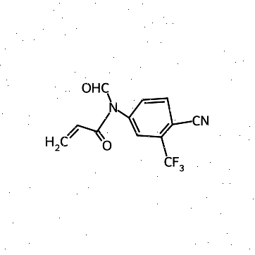 C=CC(=O)N(C=O)c1ccc(C#N)c(C(F)(F)F)c1